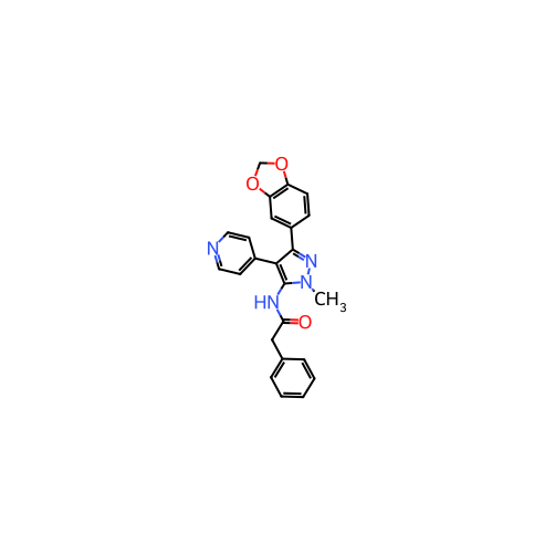 Cn1nc(-c2ccc3c(c2)OCO3)c(-c2ccncc2)c1NC(=O)Cc1ccccc1